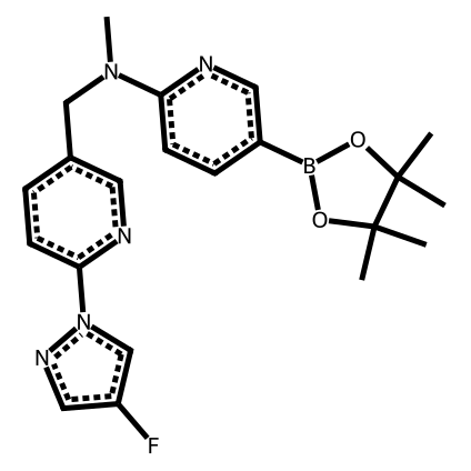 CN(Cc1ccc(-n2cc(F)cn2)nc1)c1ccc(B2OC(C)(C)C(C)(C)O2)cn1